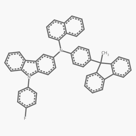 CC1(c2ccc(N(c3ccc4c(c3)c3ccccc3n4-c3ccc(F)cc3)c3cccc4ccccc34)cc2)c2ccccc2-c2ccccc21